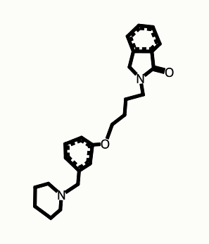 O=C1c2ccccc2CN1CCCCOc1cccc(CN2CCCCC2)c1